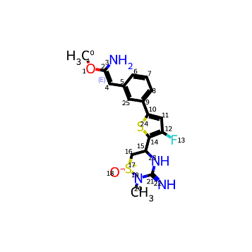 CO/C(N)=C/c1cccc(-c2cc(F)c(C3C[S+]([O-])N(C)C(=N)N3)s2)c1